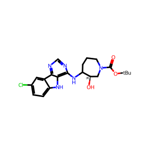 CC(C)(C)OC(=O)N1CCCC(Nc2ncnc3c2[nH]c2ccc(Cl)cc23)[C@H](O)C1